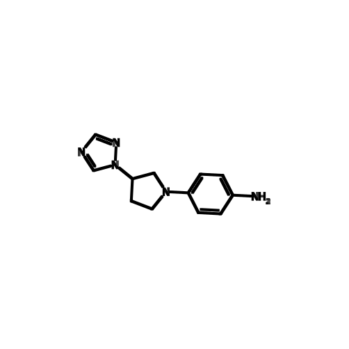 Nc1ccc(N2CCC(n3cncn3)C2)cc1